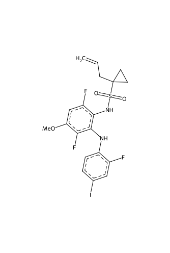 C=CCC1(S(=O)(=O)Nc2c(F)cc(OC)c(F)c2Nc2ccc(I)cc2F)CC1